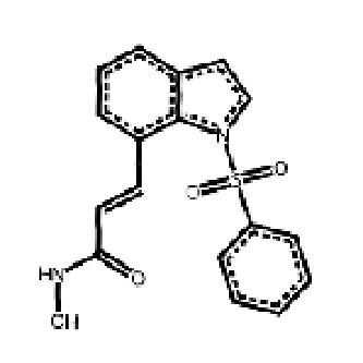 O=C(C=Cc1cccc2ccn(S(=O)(=O)c3ccccc3)c12)NO